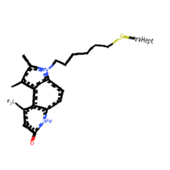 CCCCCCCSCCCCCCn1c(C)c(C)c2c3c(C(F)(F)F)cc(=O)[nH]c3ccc21